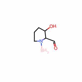 BN1CCCC(O)C1C=O